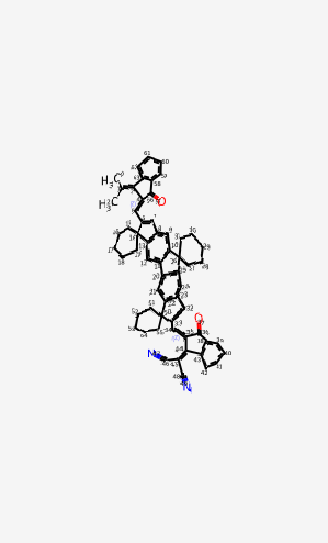 CC(C)=C1/C(=C/C2=Cc3cc4c(cc3C23CCCCC3)-c2cc3c(cc2C42CCCCC2)C=C(/C=C2\C(=O)c4ccccc4C2=C(C#N)C#N)C32CCCCC2)C(=O)c2ccccc21